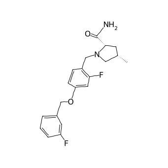 C[C@H]1C[C@@H](C(N)=O)N(Cc2ccc(OCc3cccc(F)c3)cc2F)C1